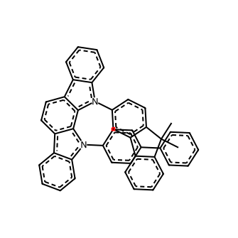 CC1(C)c2ccccc2-c2cc(-n3c4ccccc4c4ccc5c6ccccc6n(-c6ccc(-c7ccccc7)cc6)c5c43)ccc21